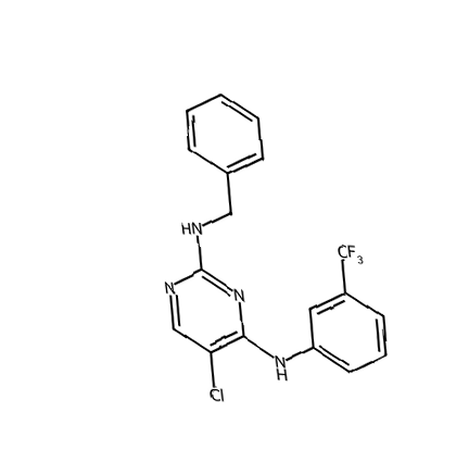 FC(F)(F)c1cccc(Nc2nc(NCc3ccccc3)ncc2Cl)c1